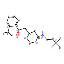 CC(C)c1ccccc1C(=O)C[C@@H]1CCCC(NCCC(C)(C)C)C1